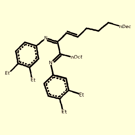 CCCCCCCCCCCCCC=CC(=Nc1ccc(CC)c(CC)c1)C(CCCCCCCC)=Nc1ccc(CC)c(CC)c1